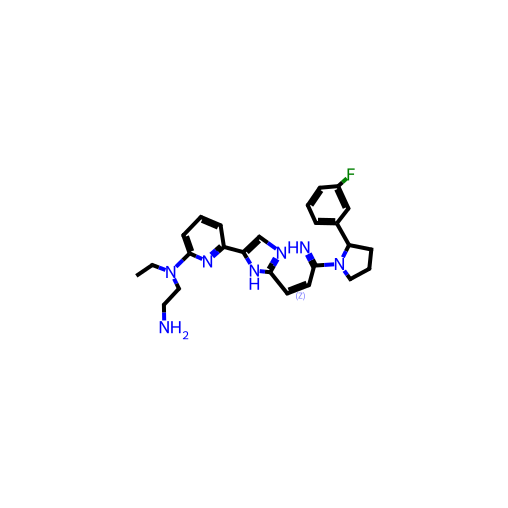 CCN(CCN)c1cccc(-c2cnc(/C=C\C(=N)N3CCCC3c3cccc(F)c3)[nH]2)n1